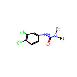 CCN(CC)C(=O)Nc1ccc(Cl)c(Cl)c1